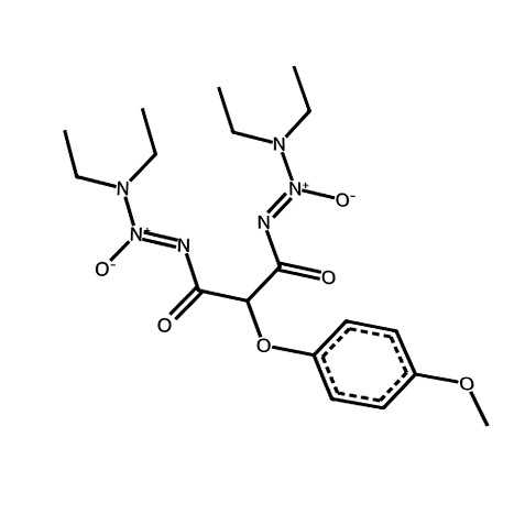 CCN(CC)[N+]([O-])=NC(=O)C(Oc1ccc(OC)cc1)C(=O)N=[N+]([O-])N(CC)CC